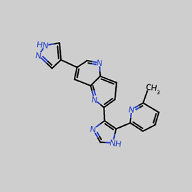 Cc1cccc(-c2[nH]cnc2-c2ccc3ncc(-c4cn[nH]c4)cc3n2)n1